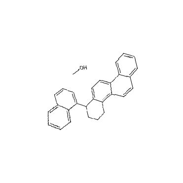 CO.c1ccc2c(C3CCCc4c3ccc3c4ccc4ccccc43)cccc2c1